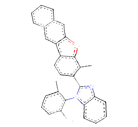 CCCc1cccc(CCC)c1-n1c(-c2ccc3c(oc4cc5ccccc5cc43)c2C)nc2ccccc21